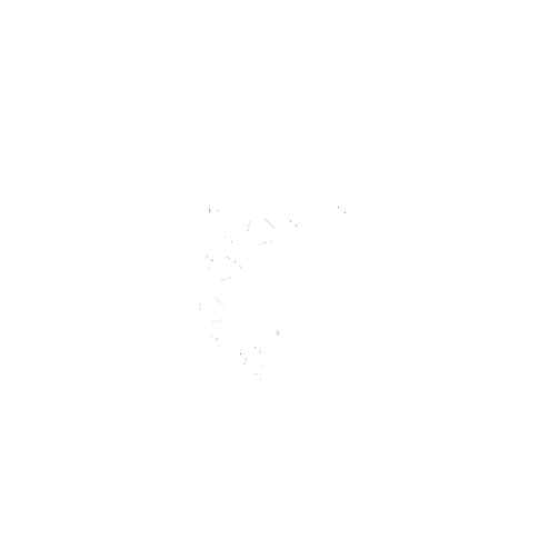 COc1cc(N2CCC(N3CCOCC3)CC2)ccc1Nc1ncc(-c2ccc(C#N)c(OCC(C(C)C)n3cncn3)c2)cn1